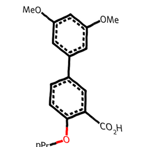 CCCOc1ccc(-c2cc(OC)cc(OC)c2)cc1C(=O)O